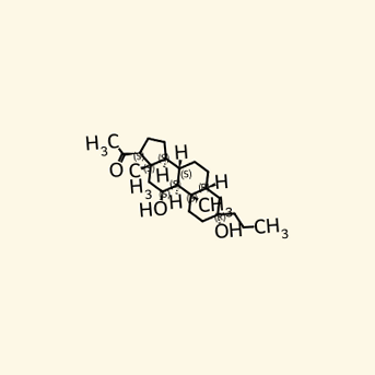 CCC[C@@]1(O)CC[C@@]2(C)[C@H](CC[C@@H]3[C@@H]2[C@@H](O)C[C@]2(C)[C@@H](C(C)=O)CC[C@@H]32)C1